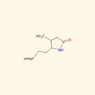 CCCCCCCCCC1NC(=O)CC1C(=O)O